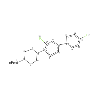 CCCCCC1CCC(c2ccc(-c3ccc(F)cc3)cc2F)CC1